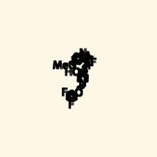 COc1ccc2ncc(CF)c([C@H](F)CCC3(CO)CCN(CCOc4cc(F)cc(F)c4)CC3)c2c1